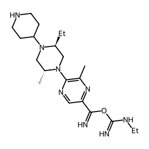 CCNC(=N)OC(=N)c1cnc(N2C[C@H](CC)N(C3CCNCC3)C[C@H]2C)c(C)n1